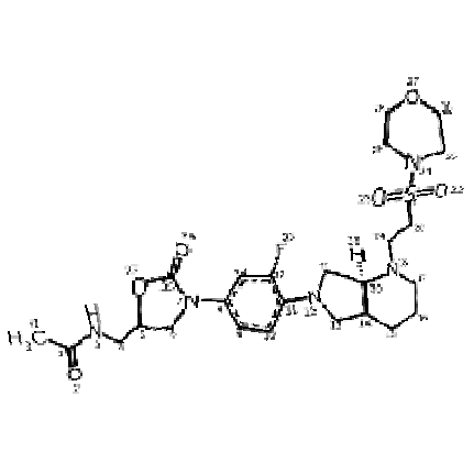 CC(=O)NCC1CN(c2ccc(N3CC4CCCN(CCS(=O)(=O)N5CCOCC5)[C@@H]4C3)c(F)c2)C(=O)O1